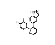 Cc1cc(-c2ncccc2-c2c[c]c3[nH]ncc3c2)ccc1F